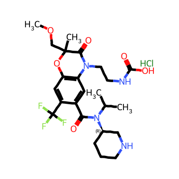 COCC1(C)Oc2cc(C(F)(F)F)c(C(=O)N(C(C)C)[C@@H]3CCCNC3)cc2N(CCNC(=O)O)C1=O.Cl